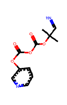 CC(C)(C=N)OC(=O)OC(=O)Oc1cccnc1